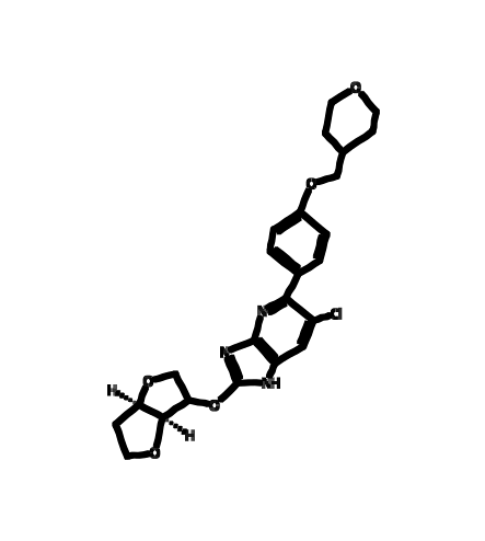 Clc1cc2[nH]c(OC3CO[C@@H]4CCO[C@H]34)nc2nc1-c1ccc(OCC2CCOCC2)cc1